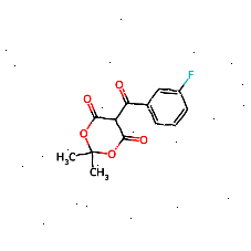 CC1(C)OC(=O)C(C(=O)c2cccc(F)c2)C(=O)O1